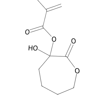 C=C(C)C(=O)OC1(O)CCCCOC1=O